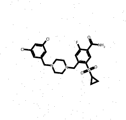 NC(=O)c1cc(S(=O)(=O)C2CC2)c(CN2CCN(Cc3cc(Cl)cc(Cl)c3)CC2)cc1F